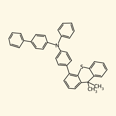 CC1(C)c2ccccc2Sc2c(-c3ccc(N(c4ccccc4)c4ccc(-c5ccccc5)cc4)cc3)cccc21